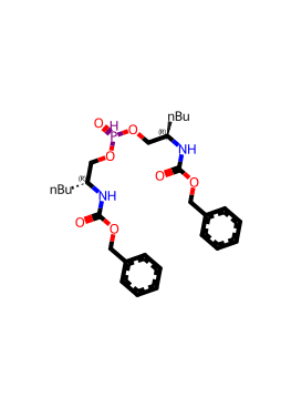 CCCC[C@H](CO[PH](=O)OC[C@@H](CCCC)NC(=O)OCc1ccccc1)NC(=O)OCc1ccccc1